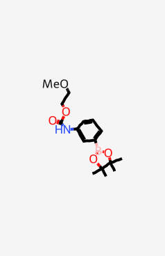 COCCOC(=O)Nc1cccc(B2OC(C)(C)C(C)(C)O2)c1